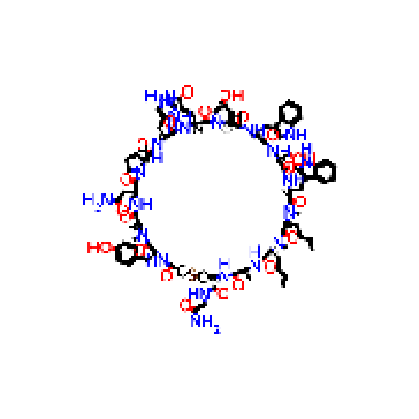 CCCC[C@H]1C(=O)N(C)[C@@H](CCCC)C(=O)N[C@@H](C)C(=O)N[C@H](C(=O)NCC(N)=O)CSCC(=O)N[C@@H](Cc2ccc(O)cc2)C(=O)N(C)[C@@H](C)C(=O)N[C@@H](CC(N)=O)C(=O)N2CCC[C@H]2C(=O)N[C@@H](Cc2cnc[nH]2)C(=O)N[C@@H](CCC(N)=O)C(=O)N2C[C@H](O)C[C@H]2C(=O)N[C@@H](Cc2c[nH]c3ccccc23)C(=O)N[C@@H](CO)C(=O)N[C@@H](Cc2c(C)[nH]c3ccccc23)C(=O)N1C